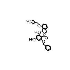 O=C(c1c(O)cc(O)cc1OCc1ccccc1)N1Cc2cccc(OCC3CNC3)c2C1